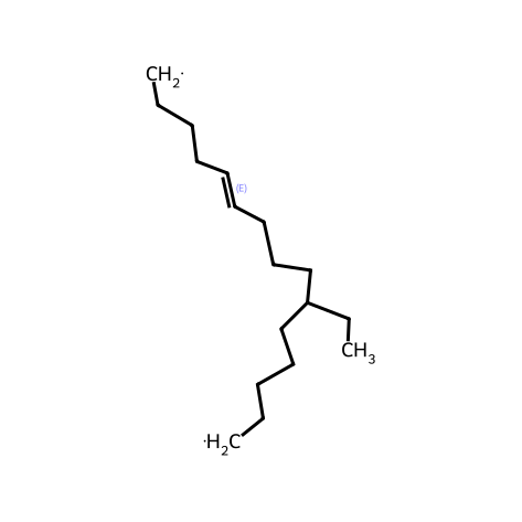 [CH2]CCC/C=C/CCCC(CC)CCCC[CH2]